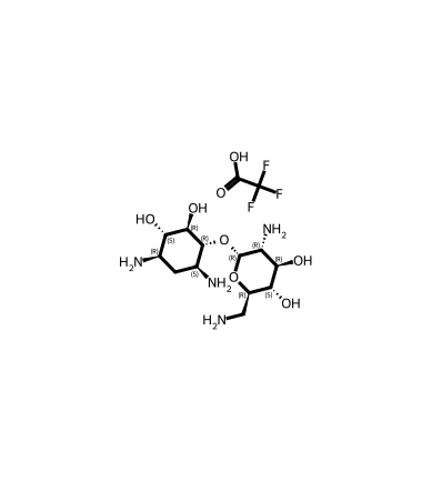 NC[C@H]1O[C@H](O[C@H]2[C@H](O)[C@@H](O)[C@H](N)C[C@@H]2N)[C@H](N)[C@@H](O)[C@@H]1O.O=C(O)C(F)(F)F